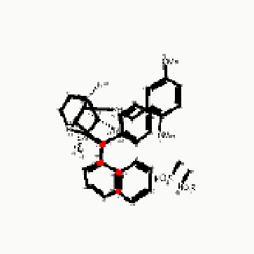 COc1ccc(OC)c(CN[C@@H]2[C@H]3CCN([C@H](CCc4ccccc4)C3)[C@@H]2C(c2ccccc2)c2ccccc2)c1.CS(=O)(=O)O.CS(=O)(=O)O